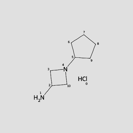 Cl.NC1CN(C2CCCC2)C1